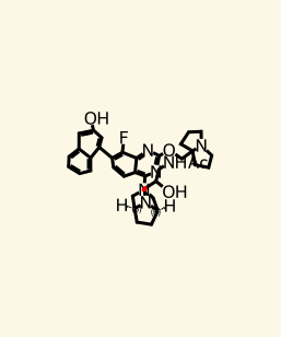 CC(=O)NCC(O)CN1[C@@H]2CC[C@H]1CN(c1nc(OCC34CCCN3CCC4)nc3c(F)c(-c4cc(O)cc5ccccc45)ccc13)C2